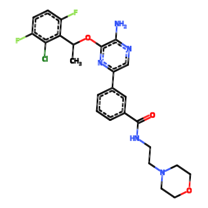 CC(Oc1nc(-c2cccc(C(=O)NCCN3CCOCC3)c2)cnc1N)c1c(F)ccc(F)c1Cl